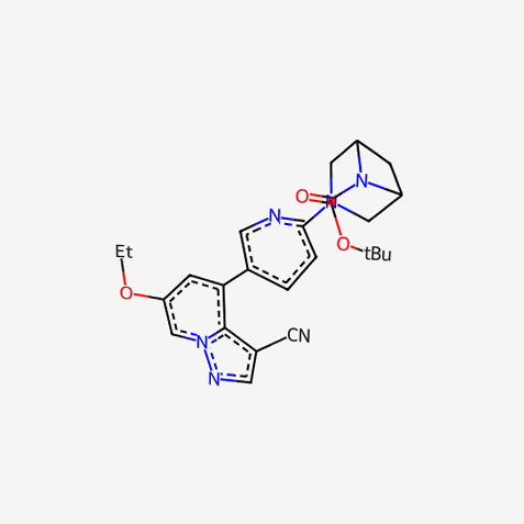 CCOc1cc(-c2ccc(N3CC4CC(C3)N4C(=O)OC(C)(C)C)nc2)c2c(C#N)cnn2c1